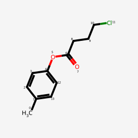 Cc1ccc(OC(=O)CCCCl)cc1